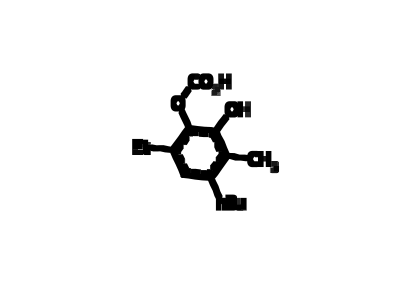 CCCCc1cc(CC)c(OC(=O)O)c(O)c1C